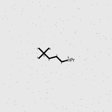 CCCCC[CH]C(C)(C)C